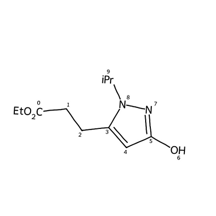 CCOC(=O)CCc1cc(O)nn1C(C)C